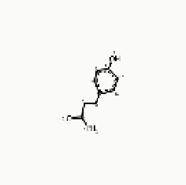 O=C(P)CCc1ccc(O)cc1